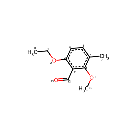 CCOc1ccc(C)c(OC)c1C=O